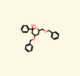 OC1(c2ccccc2)CC(OCc2ccccc2)CC(COCc2ccccc2)O1